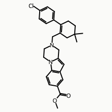 COC(=O)c1ccc2c(c1)cc1n2CCN(CC2=C(c3ccc(Cl)cc3)CCC(C)(C)C2)C1